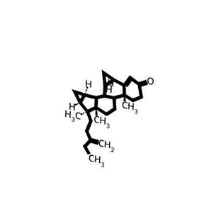 C=C(CC)CC[C@@]1(C)[C@H]2C[C@H]2C2C3C(CC[C@@]21C)[C@@]1(C)CCC(=O)C=C1[C@@H]1C[C@H]31